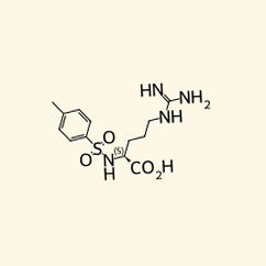 Cc1ccc(S(=O)(=O)N[C@@H](CCCNC(=N)N)C(=O)O)cc1